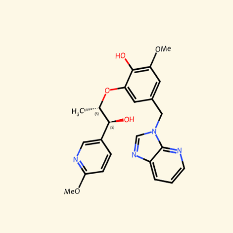 COc1ccc([C@H](O)[C@H](C)Oc2cc(Cn3cnc4cccnc43)cc(OC)c2O)cn1